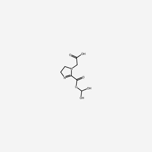 O=C(O)CN1CCN=C1C(=O)OC(O)O